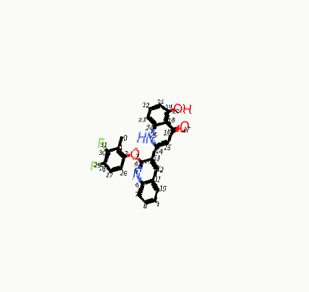 Cc1c(Oc2nc3ccccc3cc2-c2cc(=O)c3c(O)cccc3[nH]2)ccc(F)c1F